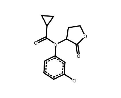 O=C1OCCC1N(C(=O)C1CC1)c1cccc(Cl)c1